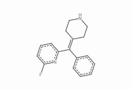 Fc1cccc(C(=C2CCNCC2)c2ccccc2)n1